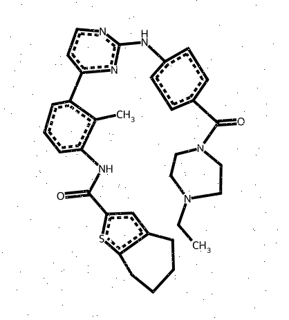 CCN1CCN(C(=O)c2ccc(Nc3nccc(-c4cccc(NC(=O)c5cc6c(s5)CCCC6)c4C)n3)cc2)CC1